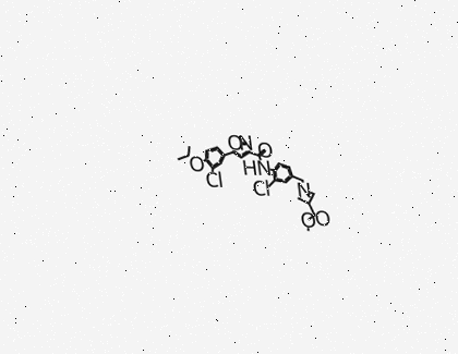 COC(=O)C1CN(Cc2ccc(NC(=O)c3cc(-c4ccc(OC(C)C)c(Cl)c4)on3)c(Cl)c2)C1